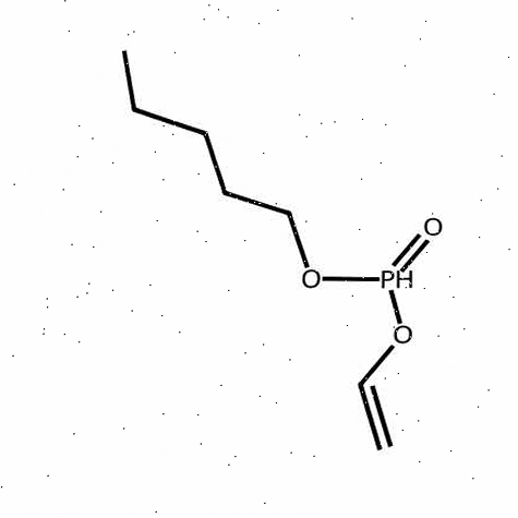 C=CO[PH](=O)OCCCCC